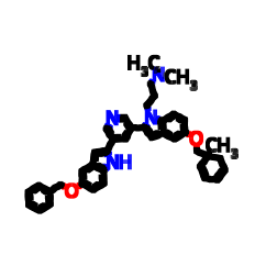 CN(C)CCCn1c(-c2cncc(-c3cc4cc(OCc5ccccc5)ccc4[nH]3)c2)cc2cc(OCC3(C)C=CC=CC3)ccc21